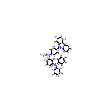 CN(c1ccc(-n2c3ccccc3c3ccccc32)cc1)c1cccc(N(c2ccccc2)c2ccccc2)c1